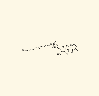 CCCCCCCCCCCCCCOCCCCOP(=O)(O)OC[C@H]1O[C@@](C#N)(c2ccc3c(C)ncnn23)[C@H](O)[C@@H]1O